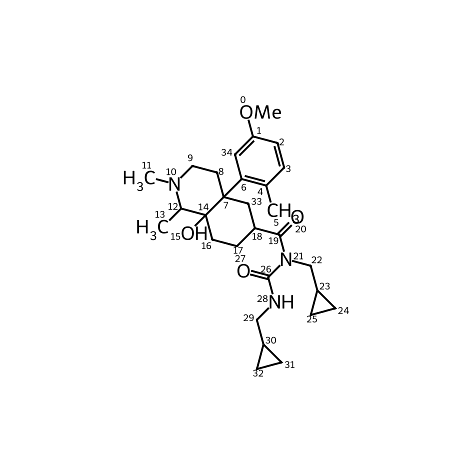 COc1ccc(C)c(C23CCN(C)C(C)C2(O)CCC(C(=O)N(CC2CC2)C(=O)NCC2CC2)C3)c1